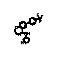 FC(F)(F)c1ccc(-c2ccc3c(c2)C(NC2CCNC2)=NCCO3)cc1